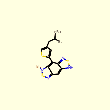 CCCCC(CC)Cc1csc(-c2c3c(cc4c2=NSN4)=NSN3Br)c1